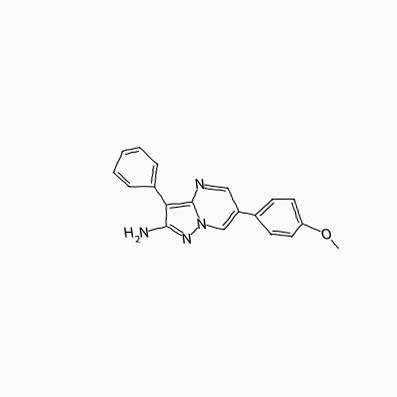 COc1ccc(-c2cnc3c(-c4ccccc4)c(N)nn3c2)cc1